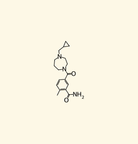 Cc1ccc(C(=O)N2CCCN(CC3CC3)CC2)cc1C(N)=O